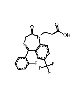 O=C(O)CCN1C(=O)CN=C(c2ccccc2F)c2cc(C(F)(F)F)ccc21